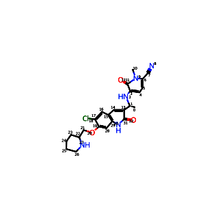 C[C@H](Nc1ccc(C#N)n(C)c1=O)c1cc2cc(Cl)c(OCC3CCCCN3)cc2[nH]c1=O